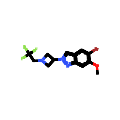 COc1cc2nn(C3CN(CC(F)(F)F)C3)cc2cc1Br